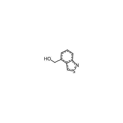 OCc1cccc2nscc12